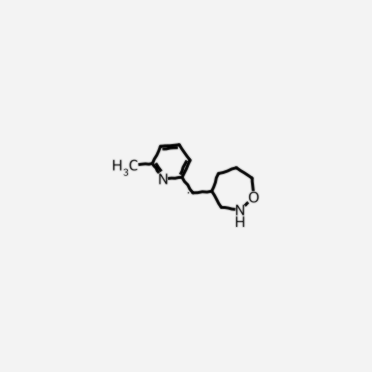 Cc1cccc([CH]C2CCCONC2)n1